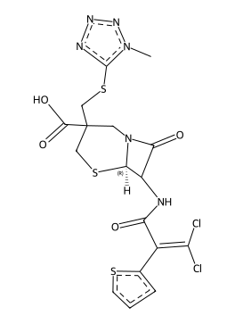 Cn1nnnc1SCC1(C(=O)O)CS[C@@H]2C(NC(=O)C(=C(Cl)Cl)c3cccs3)C(=O)N2C1